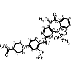 CCOc1cc(N2CCC(C(N)=O)CC2)ccc1Nc1ncc2c(n1)N(S(C)(=O)=O)c1ccccc1C(=O)N2C